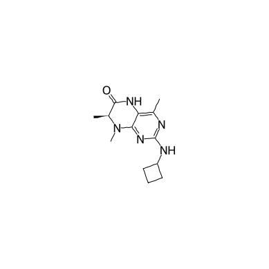 Cc1nc(NC2CCC2)nc2c1NC(=O)[C@H](C)N2C